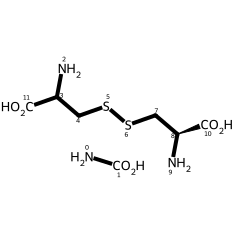 NC(=O)O.NC(CSSC[C@H](N)C(=O)O)C(=O)O